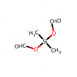 C[Si](C)(OC=O)OC=O